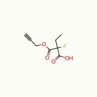 C#CCOC(=O)C(F)(CC)C(=O)O